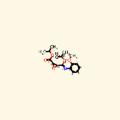 COc1ccccc1N=C(OC(C)C)C1OC1C(=O)OC(C)C